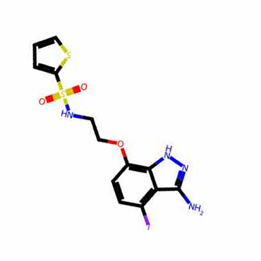 Nc1n[nH]c2c(OCCNS(=O)(=O)c3cccs3)ccc(I)c12